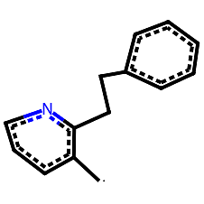 [CH2]c1cccnc1CCc1ccccc1